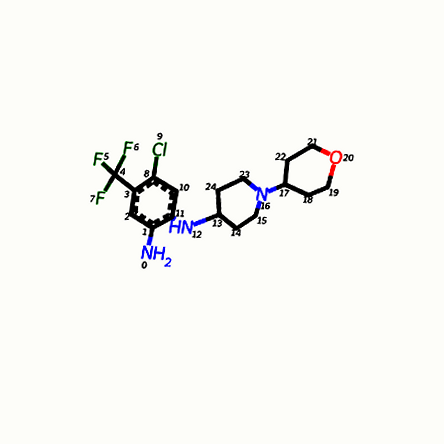 Nc1cc(C(F)(F)F)c(Cl)cc1NC1CCN(C2CCOCC2)CC1